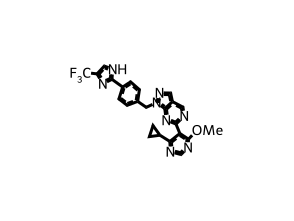 COc1ncnc(C2CC2)c1-c1ncc2cnn(Cc3ccc(-c4nc(C(F)(F)F)c[nH]4)cc3)c2n1